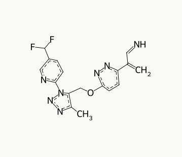 C=C(C=N)c1ccc(OCc2c(C)nnn2-c2ccc(C(F)F)cn2)nn1